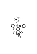 CNC(=O)NCCCc1c(Nc2ccccc2)cc(C(N)=O)c(C(=O)OC)c1Nc1ccccc1